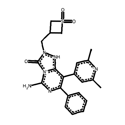 Cc1cc(-c2c(-c3ccccc3)nc(N)[n+]3c(=O)n(CC4CS(=O)(=O)C4)[nH]c23)cc(C)n1